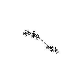 Cc1ncsc1-c1ccc(CNC(=O)C2CC(OC(=O)CCCCCCCCCCCCCNC(=O)OC(C)(C)C)CN2)cc1